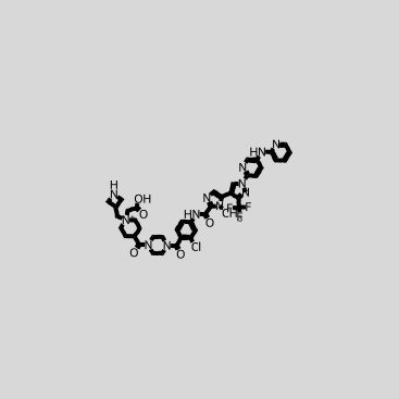 Cn1c(-c2cn(-c3ccc(Nc4ccccn4)cn3)nc2C(F)(F)F)cnc1C(=O)Nc1ccc(C(=O)N2CCN(C(=O)C3CC[N+](CC(=O)O)(CC4CNC4)CC3)CC2)c(Cl)c1